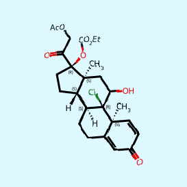 CCOC(=O)O[C@]1(C(=O)COC(C)=O)CC[C@H]2[C@@H]3CCC4=CC(=O)C=C[C@]4(C)[C@@]3(Cl)C(O)C[C@@]21C